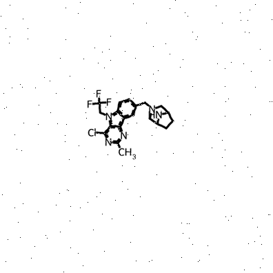 Cc1nc(Cl)c2c(n1)c1cc(CN3CC4CCC(C3)N4)ccc1n2CC(F)(F)F